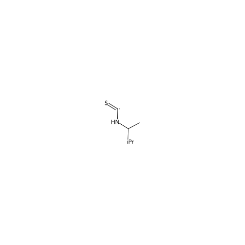 CC(C)C(C)N[C]=S